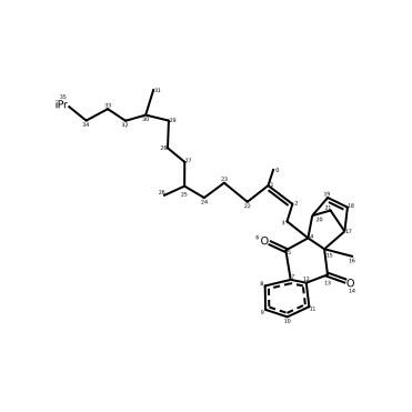 CC(=CCC12C(=O)c3ccccc3C(=O)C1(C)C1C=CC2C1)CCCC(C)CCCC(C)CCCC(C)C